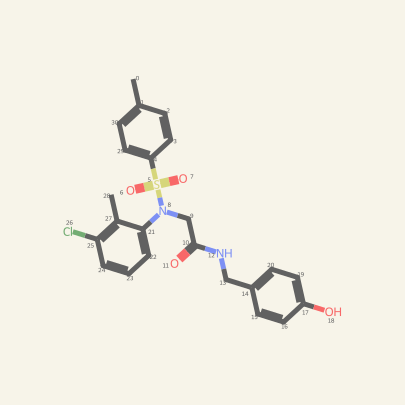 Cc1ccc(S(=O)(=O)N(CC(=O)NCc2ccc(O)cc2)c2cccc(Cl)c2C)cc1